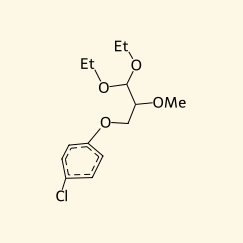 CCOC(OCC)C(COc1ccc(Cl)cc1)OC